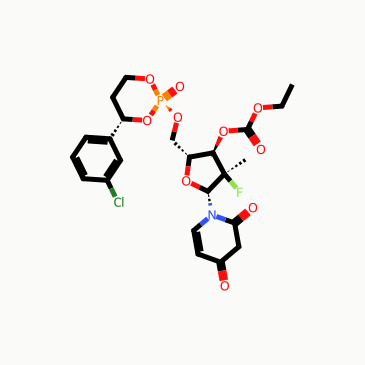 CCOC(=O)O[C@@H]1[C@@H](CO[P@@]2(=O)OCC[C@@H](c3cccc(Cl)c3)O2)O[C@@H](N2C=CC(=O)CC2=O)[C@]1(C)F